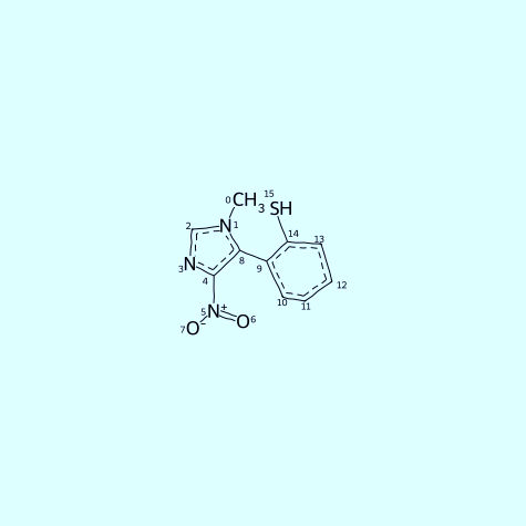 Cn1cnc([N+](=O)[O-])c1-c1ccccc1S